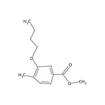 CCCCOc1cc(C(=O)OC)ccc1C